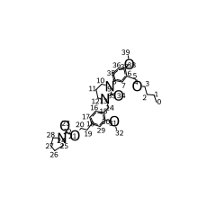 CCCCOCc1cc(N2CCCN(Cc3ccc(CCOC(=O)N4CCCC4)cc3OC)C2=O)ccc1OC